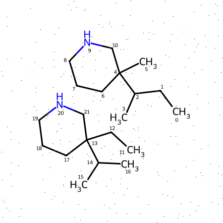 CCC(C)C1(C)CCCNC1.CCC1(C(C)C)CCCNC1